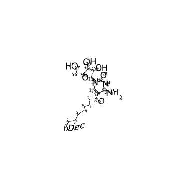 CCCCCCCCCCCCCCCCCC(=O)c1cn([C@@H]2O[C@H](CO)[C@@H](O)[C@@H]2O)c(=O)nc1N